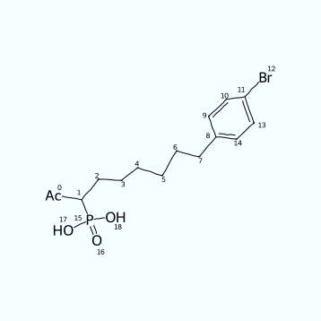 CC(=O)C(CCCCCCc1ccc(Br)cc1)P(=O)(O)O